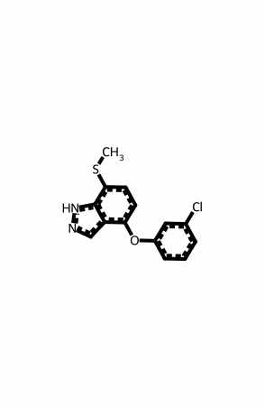 CSc1ccc(Oc2cccc(Cl)c2)c2cn[nH]c12